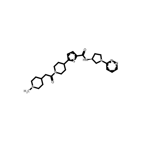 CN1CCC(CC(=O)N2CCC(c3ccc(C(=O)N[C@H]4CCN(c5cccnn5)C4)s3)CC2)CC1